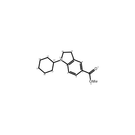 COC(=O)c1ccc2c(c1)CCN2C1CCCCC1